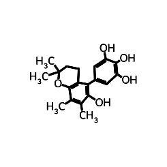 Cc1c(C)c2c(c(-c3cc(O)c(O)c(O)c3)c1O)CCC(C)(C)O2